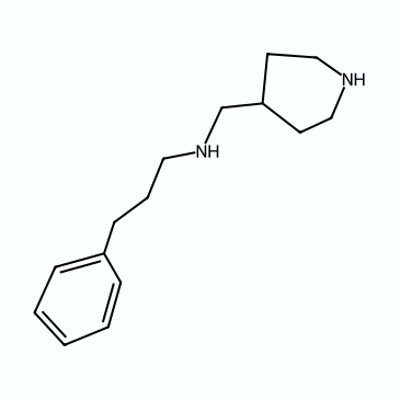 c1ccc(CCCNCC2CCNCC2)cc1